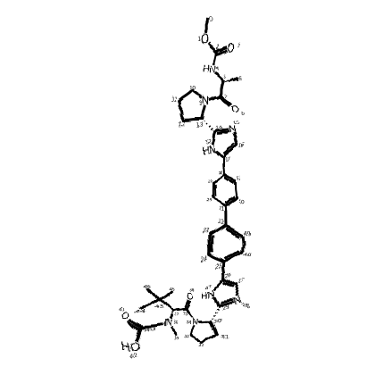 COC(=O)N[C@@H](C)C(=O)N1CCC[C@H]1c1ncc(-c2ccc(-c3ccc(-c4cnc([C@@H]5CCCN5C(=O)[C@@H](N(C)C(=O)O)C(C)(C)C)[nH]4)cc3)cc2)[nH]1